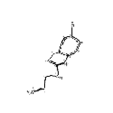 NCCNC1=NSc2cc(Cl)ccc2N1